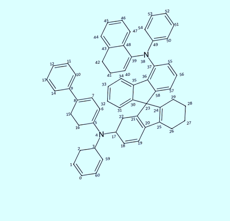 C1=CCC(N(C2=CC=C(c3ccccc3)CC2)C2C=CC3=C(C2)C2(C4=C3CCCC4)c3ccccc3-c3c(N(C4=CCCc5ccccc54)c4ccccc4)cccc32)C=C1